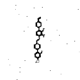 C=CC1=CCC(c2ccc(CCC3CCC(c4ccc(OC)cc4F)CC3)c(F)c2F)C=C1